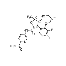 C[C@@H](CO)COc1c([C@H]2[C@H](C(=O)Nc3ccc(C(N)=O)nc3)O[C@@](C)(C(F)(F)F)[C@H]2C)ccc(F)c1F